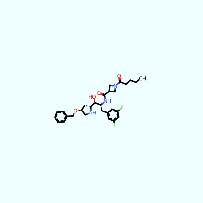 CCCCC(=O)N1CC(C(=O)N[C@@H](Cc2cc(F)cc(F)c2)[C@H](O)[C@H]2C[C@@H](OCc3ccccc3)CN2)C1